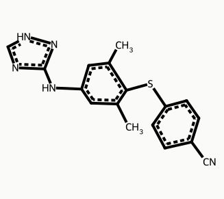 Cc1cc(Nc2nc[nH]n2)cc(C)c1Sc1ccc(C#N)cc1